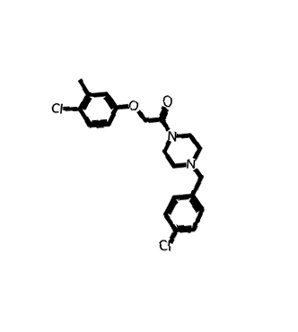 Cc1cc(OCC(=O)N2CCN(Cc3ccc(Cl)cc3)CC2)ccc1Cl